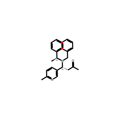 CC(=O)C[C@H](c1ccc(C)nc1)N(Cc1ccccc1)[C@@H](C)c1ccccc1